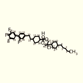 CCCCCC1CCC(C2(C)COC(O)(C3CCC(CCc4ccc(-c5cc(F)c(F)c(F)c5)c(F)c4)CC3)OC2)CC1